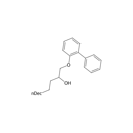 CCCCCCCCCCCCC(O)COc1ccc[c]c1-c1ccccc1